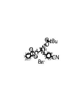 CC(C)(C)C(=O)OC[n+]1cc(CCN2C(=O)c3ccccc3C2=O)n(Cc2ccc(C#N)cc2)c1.[Br-]